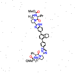 COC(=O)NC(C(=O)N1C(C)CCC1c1nc2cc(-c3ccc(-c4ccc(-c5cnc([C@@H]6CCC(C)N6C(=O)C(NC(=O)OC)C(C)C)[nH]5)cc4)c4c3C3CCC4C3)ccc2[nH]1)C(C)C